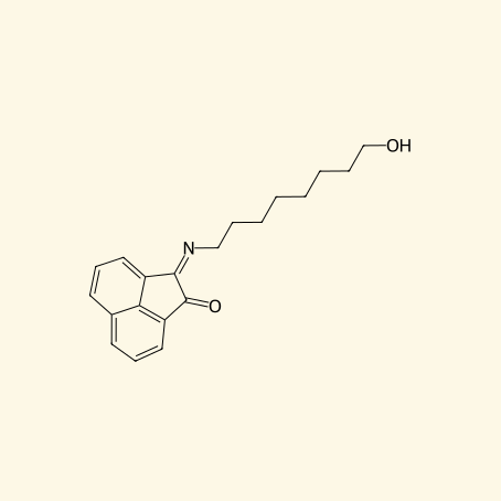 O=C1/C(=N\CCCCCCCCO)c2cccc3cccc1c23